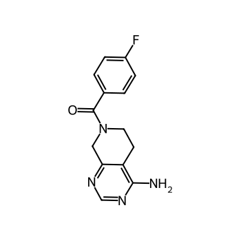 Nc1ncnc2c1CCN(C(=O)c1ccc(F)cc1)C2